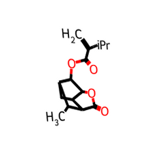 C=C(C(=O)OC1C2CC3C1OC(=O)C3C2C)C(C)C